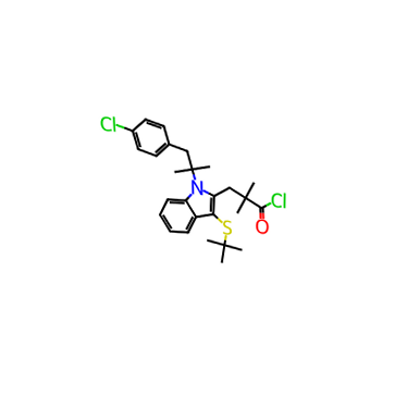 CC(C)(C)Sc1c(CC(C)(C)C(=O)Cl)n(C(C)(C)Cc2ccc(Cl)cc2)c2ccccc12